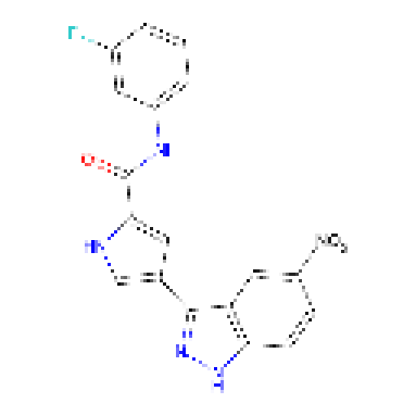 O=C(Nc1cccc(F)c1)c1cc(-c2n[nH]c3ccc([N+](=O)[O-])cc23)c[nH]1